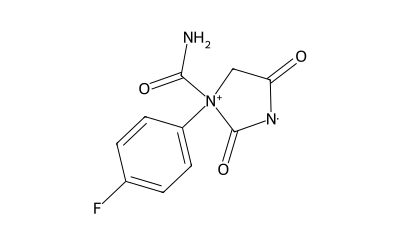 NC(=O)[N+]1(c2ccc(F)cc2)CC(=O)[N]C1=O